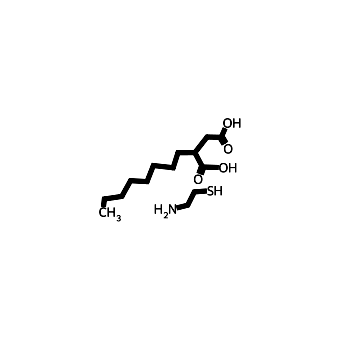 CCCCCCCCC(CC(=O)O)C(=O)O.NCCS